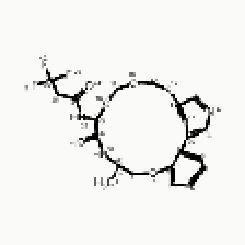 C[C@@H]1COc2ccccc2-c2cncc(c2)SCCCC[C@H](NC(=O)CC(F)(F)F)C(=O)N1